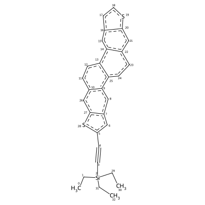 CC[Si](C#Cc1cc2cc3c(ccc4c5cc6ccsc6cc5ccc34)cc2s1)(CC)CC